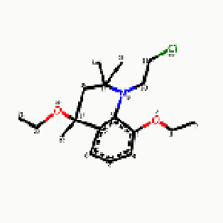 CCOc1cccc2c1N(CCCl)C(C)(C)CC2(C)OCC